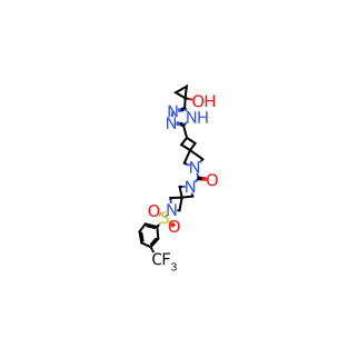 O=C(N1CC2(CC(c3nnc(C4(O)CC4)[nH]3)C2)C1)N1CC2(C1)CN(S(=O)(=O)c1cccc(C(F)(F)F)c1)C2